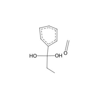 C=O.CCC(O)(O)c1ccccc1